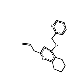 C=CCc1cc(OCc2ccccn2)c2c(n1)CCCC2